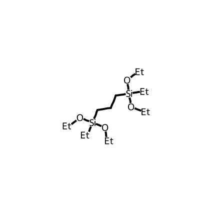 CCO[Si](CC)(CCC[Si](CC)(OCC)OCC)OCC